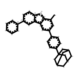 Cc1cc(-c2ccc(C34CC5CC(CC(C5)C3)C4)cc2)cc2c1oc1ccc(-c3ccccc3)cc12